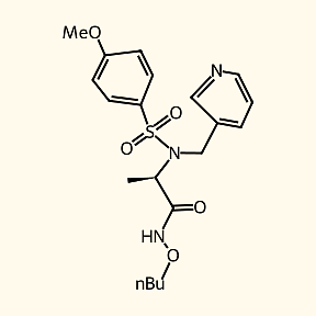 CCCCONC(=O)[C@@H](C)N(Cc1cccnc1)S(=O)(=O)c1ccc(OC)cc1